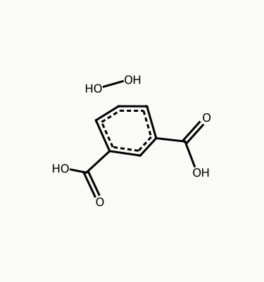 O=C(O)c1cccc(C(=O)O)c1.OO